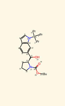 CC(C)[Si](C(C)C)(C(C)C)n1ccc2ccc(C(O)[C@@H]3CCCN3C(=O)OC(C)(C)C)cc21